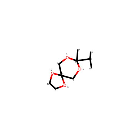 CC(C)C1(C)OCC2(CO1)OCCO2